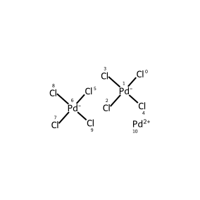 [Cl][Pd-]([Cl])([Cl])[Cl].[Cl][Pd-]([Cl])([Cl])[Cl].[Pd+2]